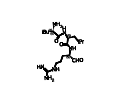 CC[C@H](C)[C@H](N)C(=O)N[C@@H](CC(C)C)C(=O)N[C@H](C=O)CCCNC(=N)N